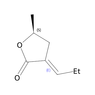 CC/C=C1\C[C@H](C)OC1=O